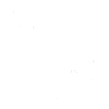 O=C(O)NC1CCOc2ccc(-c3ccc(OC(F)(F)F)cc3)cc21